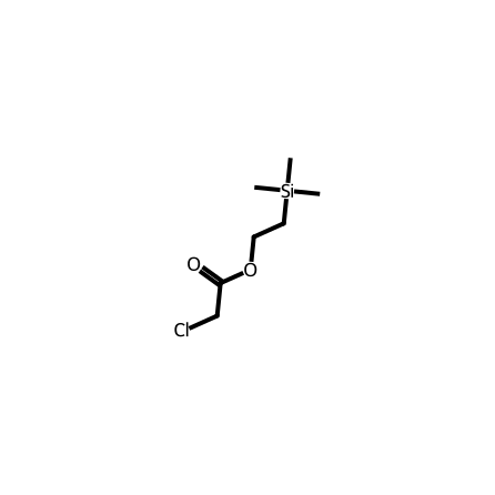 C[Si](C)(C)CCOC(=O)CCl